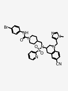 Cn1cncc1CN1CC(N(CC2CCN(C(=O)Nc3ccc(Br)cc3)CC2)S(=O)(=O)c2ccccn2)Cc2cc(C#N)ccc21